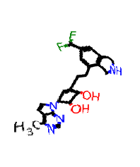 Cc1ncnc2c1ccn2C1C=C(CCc2cc(C(F)F)cc3c2CNCC3)C(O)C1O